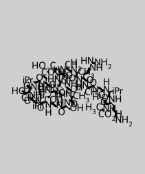 CC(C)C[C@H](NC(=O)[C@H](CCC(=O)O)NC(=O)[C@@H](NC(=O)[C@@H](NC(=O)[C@@H](NC(=O)CNC(=O)CNC(=O)[C@H](CO)NC(=O)[C@H](C)NC(=O)CN)C(C)C)[C@@H](C)O)C(C)C)C(=O)N[C@@H](CO)C(=O)N[C@@H](CCC(=O)O)C(=O)N[C@@H](C)C(=O)N[C@@H](C)C(=O)N[C@@H](CCCNC(=N)N)C(=O)N[C@@H](C)C(=O)NCC(=O)N[C@H](C(=O)N[C@@H](CCCCN)C(=O)N[C@@H](C)C(=O)O)C(C)C